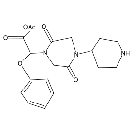 CC(=O)OC(=O)C(Oc1ccccc1)N1CC(=O)N(C2CCNCC2)CC1=O